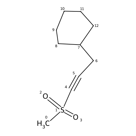 CS(=O)(=O)C#CCC1CCCCC1